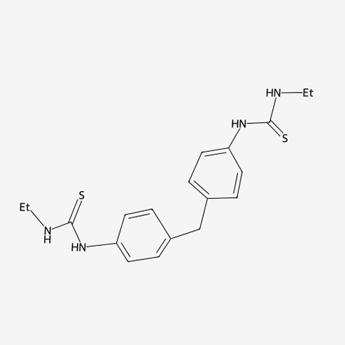 CCNC(=S)Nc1ccc(Cc2ccc(NC(=S)NCC)cc2)cc1